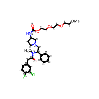 COCCOCCOCCOC(=O)NC1CCN(CC(c2ccccc2)N(C)C(=O)Cc2ccc(Cl)c(Cl)c2)C1